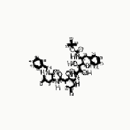 CC(C)CC(NC(=O)CC(O)C(CC(C)C)NC(=O)C(O)C(O)C(O)C(Cc1ccccc1)NC(=O)OC(C)(C)C)C(=O)NCc1ccccc1